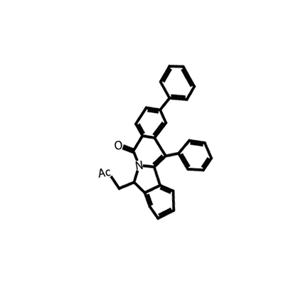 CC(=O)CC1c2ccccc2-c2c(-c3ccccc3)c3cc(-c4ccccc4)ccc3c(=O)n21